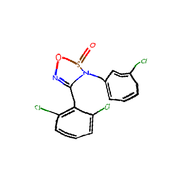 O=S1ON=C(c2c(Cl)cccc2Cl)N1c1cccc(Cl)c1